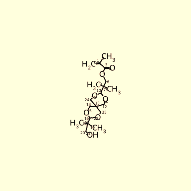 C=C(C)C(=O)OCC(C)(C)C1OCC2(COC(C(C)(C)CO)OC2)CO1